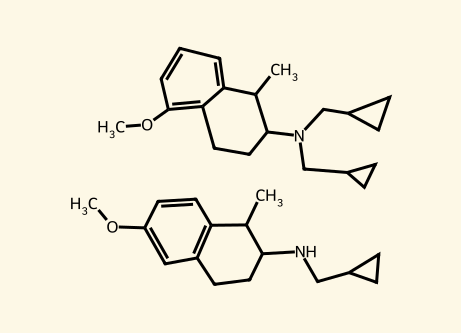 COc1ccc2c(c1)CCC(NCC1CC1)C2C.COc1cccc2c1CCC(N(CC1CC1)CC1CC1)C2C